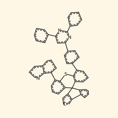 c1ccc(-c2cc(-c3ccc(-c4cccc5c4Sc4c(-c6cccc7cccnc67)cccc4C54c5ccccc5-c5ccccc54)cc3)nc(-c3ccccc3)n2)cc1